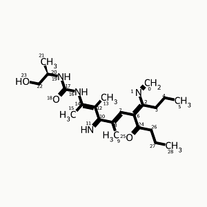 C=N/C(CCC)=C(\C=C(/C)C(=N)/C(C)=C(\C)NC(=O)N[C@H](C)CO)C(=O)CCC